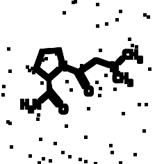 CN(C)CC(=O)N1CC[CH][C@@H]1C(N)=O